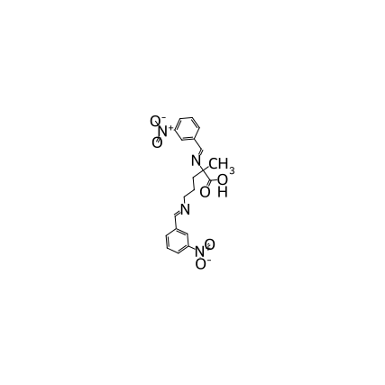 CC(CCCN=Cc1cccc([N+](=O)[O-])c1)(N=Cc1cccc([N+](=O)[O-])c1)C(=O)O